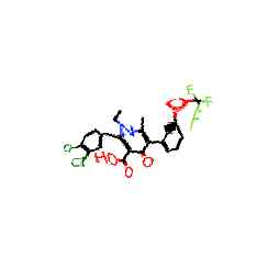 CCn1c(C)c(-c2cccc(OC(F)(F)F)c2)c(=O)c(C(=O)O)c1-c1ccc(Cl)c(Cl)c1